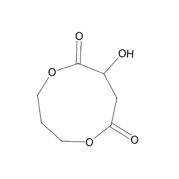 O=C1CC(O)C(=O)OCCCO1